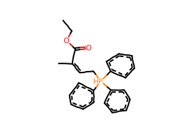 CCOC(=O)/C(C)=C\C[PH](c1ccccc1)(c1ccccc1)c1ccccc1